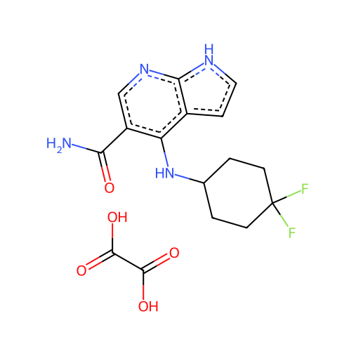 NC(=O)c1cnc2[nH]ccc2c1NC1CCC(F)(F)CC1.O=C(O)C(=O)O